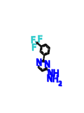 NNc1ccnc(-c2cccc(C(F)(F)F)c2)n1